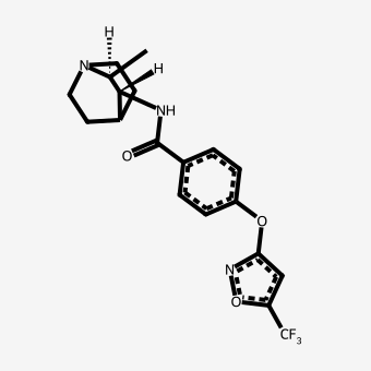 C[C@H]1[C@H](NC(=O)c2ccc(Oc3cc(C(F)(F)F)on3)cc2)C2CCN1CC2